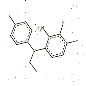 CCN(c1ccc(C)cc1)c1ccc(C)c(F)c1N